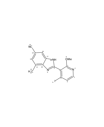 COc1nccc(I)c1-c1nc2c(C)cc(C#N)cc2[nH]1